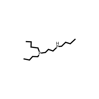 CCCCPCCCP(CCCC)CCCC